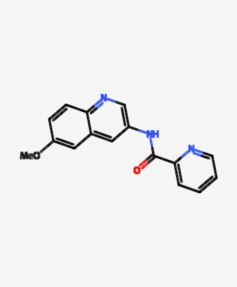 COc1ccc2ncc(NC(=O)c3ccccn3)cc2c1